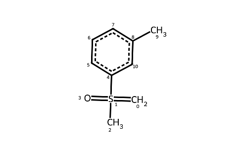 C=S(C)(=O)c1cccc(C)c1